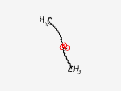 CCCCCCCCCCCCCCCCCCCCCC(=O)OC(C[C]=O)CCCCCCCCCCCCC